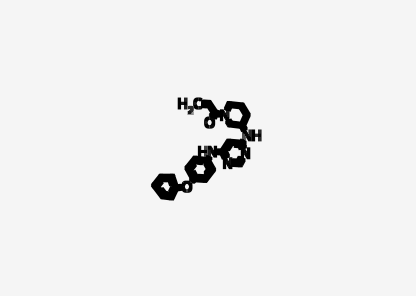 C=CC(=O)N1CCCC(Nc2cc(Nc3ccc(Oc4ccccc4)cc3)ncn2)C1